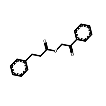 O=C(CCc1ccccc1)OCC(=O)c1ccccc1